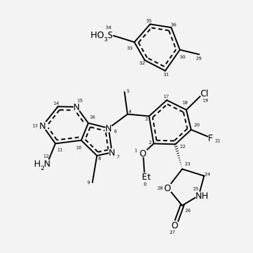 CCOc1c(C(C)n2nc(C)c3c(N)ncnc32)cc(Cl)c(F)c1[C@@H]1CNC(=O)O1.Cc1ccc(S(=O)(=O)O)cc1